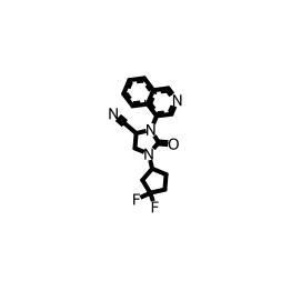 N#CC1CN(C2CCC(F)(F)C2)C(=O)N1c1cncc2ccccc12